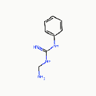 N=C(NCN)Nc1ccccc1